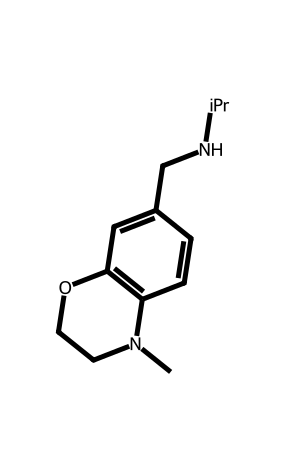 CC(C)NCc1ccc2c(c1)OCCN2C